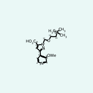 COc1cnccc1-c1cc(C(=O)O)n(COCC[Si](C)(C)C)n1